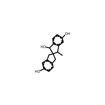 CC1c2cc(O)ccc2C(O)C12Cc1ccc(O)cc1C2